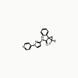 O=C(Nc1ccn(-c2ccncc2)n1)[C@@]1(c2ccccc2)CC1(F)F